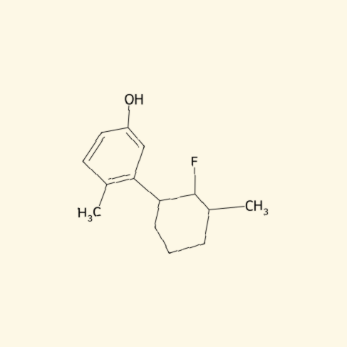 Cc1ccc(O)cc1C1CCCC(C)C1F